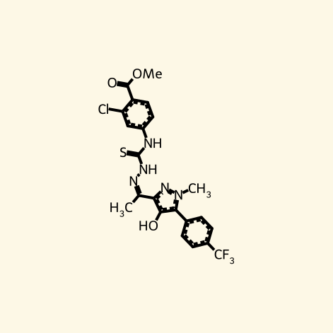 COC(=O)c1ccc(NC(=S)N/N=C(/C)c2nn(C)c(-c3ccc(C(F)(F)F)cc3)c2O)cc1Cl